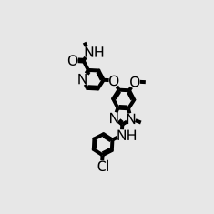 CNC(=O)c1cc(Oc2cc3nc(Nc4cccc(Cl)c4)n(C)c3cc2OC)ccn1